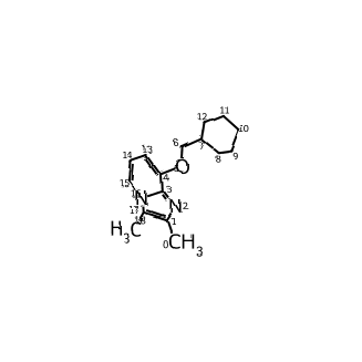 Cc1nc2c(OCC3CCCCC3)cccn2c1C